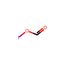 O=COI